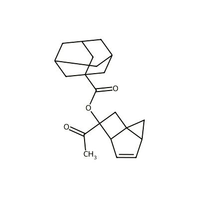 CC(=O)C1(OC(=O)C23CC4CC(CC(C4)C2)C3)CC23CC2C=CC13